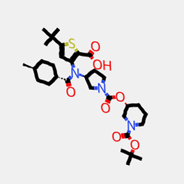 CC(C)(C)OC(=O)N1CCC[C@@H](OC(=O)N2CC[C@H](N(c3cc(C(C)(C)C)sc3C(=O)O)C(=O)[C@H]3CC[C@H](C)CC3)C2)C1